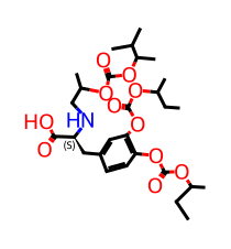 CCC(C)OC(=O)Oc1ccc(C[C@H](NCC(C)OC(=O)OC(C)C(C)C)C(=O)O)cc1OC(=O)OC(C)CC